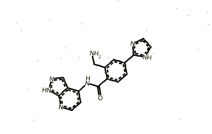 NCc1cc(-c2ncc[nH]2)ccc1C(=O)Nc1ccnc2[nH]ncc12